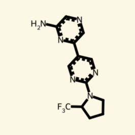 Nc1cncc(-c2cnc(N3CCCC3C(F)(F)F)nc2)n1